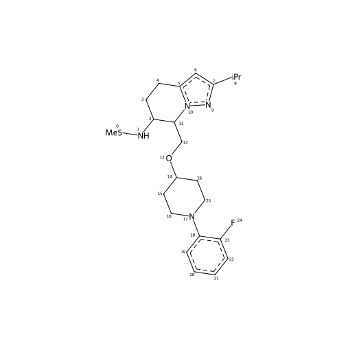 CSNC1CCc2cc(C(C)C)nn2C1COC1CCN(c2ccccc2F)CC1